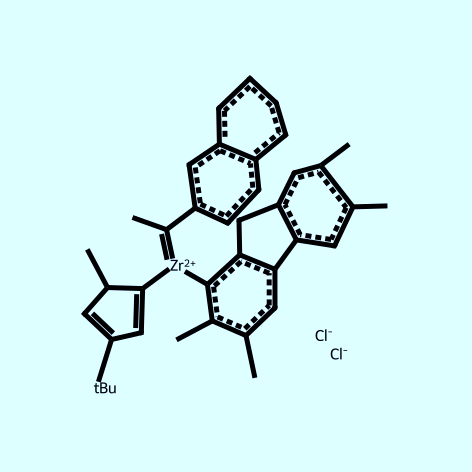 C/[C](c1ccc2ccccc2c1)=[Zr+2](\[C]1=CC(C(C)(C)C)=CC1C)[c]1c(C)c(C)cc2c1Cc1cc(C)c(C)cc1-2.[Cl-].[Cl-]